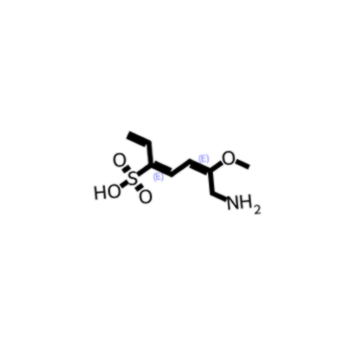 C=C/C(=C\C=C(/CN)OC)S(=O)(=O)O